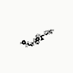 COc1cc2c(Nc3ncc(CC(=O)Nc4cccc(F)c4)s3)ncnc2cc1OC(CCNCCOP(=O)(O)O)C1CC1